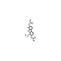 C=CC(=O)Oc1ccc2c(oc3c(C(F)(F)F)c(OC(=O)C=C)ccc32)c1C